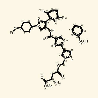 CCOC1CCC(n2cc(NC(=O)c3csc(-c4cnn(COC(=O)C[C@H](N)C(=O)OC)c4)n3)c(-c3nc(F)ccc3F)n2)CC1.O=S(=O)(O)c1ccccc1